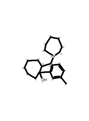 Cc1cccc(C2(O)CCCCCC2CN2CCCCCC2)c1